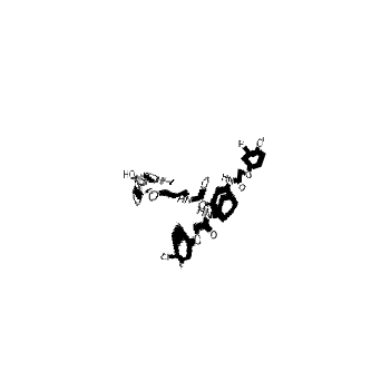 O=C(COc1ccc(Cl)c(F)c1)NC1C[C@H](OC(=O)NCCCOP(=O)(O)O)C2(NC(=O)COc3ccc(Cl)c(F)c3)CCCC1C2